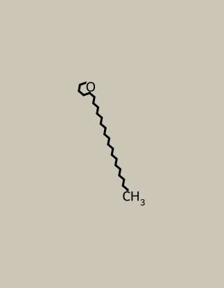 CCCCCCCCCCCCCCCCCCCCC1CCCCO1